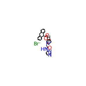 O=C(C[N+]12CCC(CC1)[C@@H](OC(=O)C1c3ccccc3Cc3ccccc31)C2)Nc1ccncn1.[Br-]